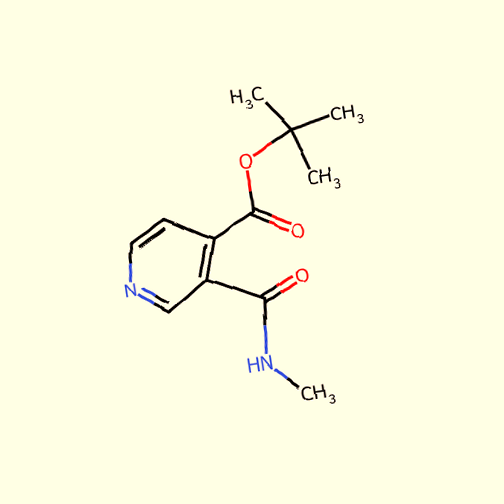 CNC(=O)c1cnccc1C(=O)OC(C)(C)C